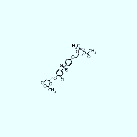 CC(=O)OC[C@H](COc1ccc(S(=O)(=O)c2ccc(OC[C@@H](CCl)OC(C)=O)c(Cl)c2)cc1)OC(C)=O